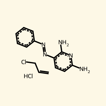 C=CCCl.Cl.Nc1ccc(/N=N/c2ccccc2)c(N)n1